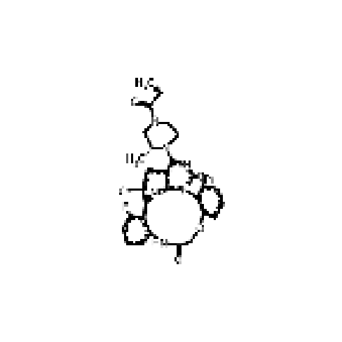 C=CC(=O)N1CCN(c2nc(=O)n3c4nc(c(Cl)cc24)-c2c(F)cccc2NC(=O)COc2cccc(C(C)C)c2-3)[C@H](C)C1